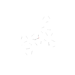 Cc1ccc2c(c1)Oc1cc(C)ccc1N2c1ccc(-n2c3ccccc3c3ccc4c(-c5ccccc5)cn(-c5ccccc5)c4c32)cc1